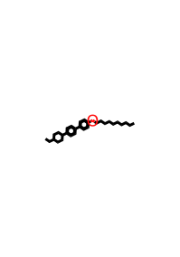 CCCCCCCCCCOc1ccc(-c2ccc(C3CCC(CC)CC3)cc2)cc1